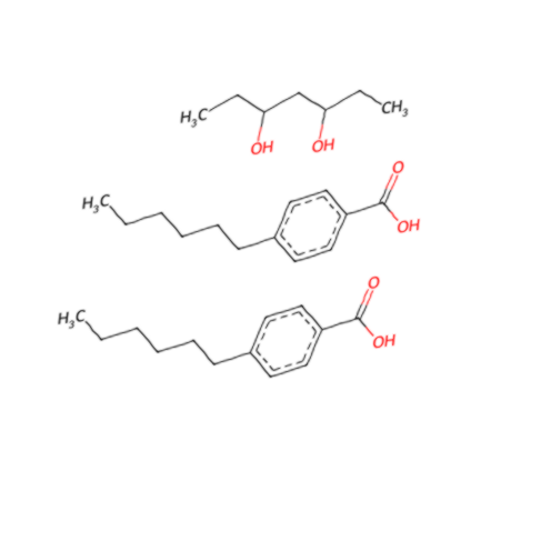 CCC(O)CC(O)CC.CCCCCCc1ccc(C(=O)O)cc1.CCCCCCc1ccc(C(=O)O)cc1